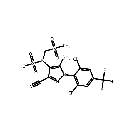 CS(=O)(=O)CN(c1c(C#N)nn(-c2c(Cl)cc(C(F)(F)F)cc2Cl)c1N)S(C)(=O)=O